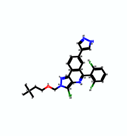 C[Si](C)(C)CCOCn1nc2c(nc(-c3c(F)cccc3F)c3cc(-c4cn[nH]c4)ccc32)c1Br